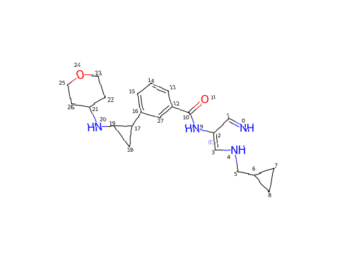 N=C/C(=C\NCC1CC1)NC(=O)c1cccc(C2CC2NC2CCOCC2)c1